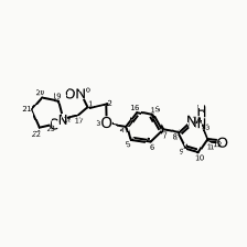 O=NC(COc1ccc(-c2ccc(=O)[nH]n2)cc1)CN1CCCCC1